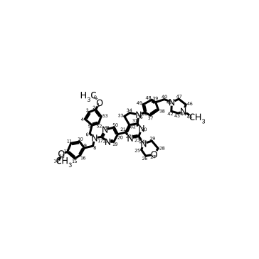 COc1ccc(CN(Cc2ccc(OC)cc2)c2ncc(-c3nc(N4CCOCC4)nc4c3CCN4c3ccc(CN4CCN(C)CC4)cc3)cn2)cc1